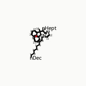 CCCCCCCCCCCCCCCCCCCn1ccnc1C(CCCCCCC)C(C)(Cc1ccccc1)c1ccccc1